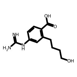 N=C(N)Nc1ccc(C(=O)O)c(CCCCO)c1